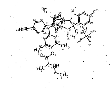 CCNC(C)C(=O)Oc1c(C)cc(C[n+]2cnn(C[C@](OC(=O)C(F)(F)F)(c3ccc(F)cc3F)[C@@H](C)c3nc(-c4ccc(C#N)cc4)cs3)c2)cc1C.[Br-]